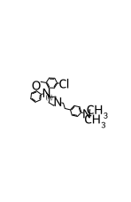 CN(C)c1ccc(CCN2CC[C@@H](N3c4cc(Cl)ccc4COc4ccccc43)C2)cc1